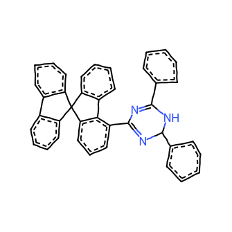 c1ccc(C2=NC(c3cccc4c3-c3ccccc3C43c4ccccc4-c4ccccc43)=NC(c3ccccc3)N2)cc1